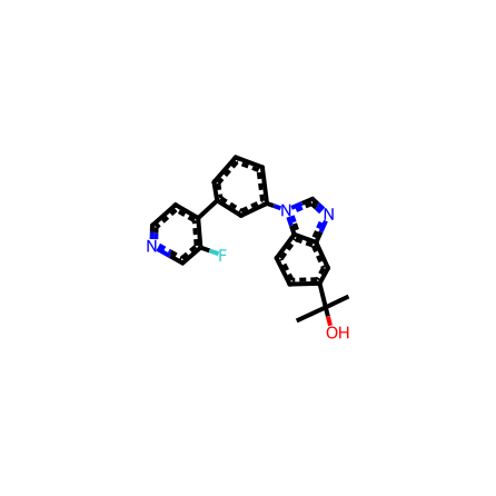 CC(C)(O)c1ccc2c(c1)ncn2-c1cccc(-c2ccncc2F)c1